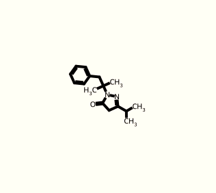 CC(C)C1=NN(C(C)(C)Cc2ccccc2)C(=O)C1